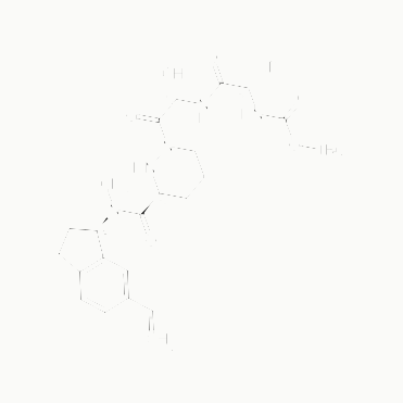 C=Cc1ccc2c(c1)[C@H](N(C)C(=O)[C@@H]1CCCN(C(=O)[C@H](C)NC(=O)[C@@H](NC(=O)OC(C)(C)C)C(C)C)N1)CC2